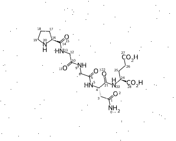 NC(=O)C[C@H](NC(=O)CNC(=O)CNC(=O)[C@@H]1CCCN1)C(=O)N[C@@H](CCC(=O)O)C(=O)O